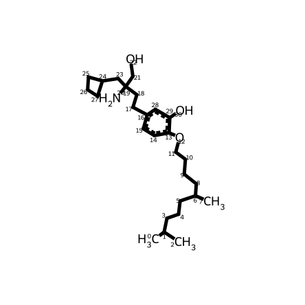 CC(C)CCCC(C)CCCCOc1ccc(CCC(N)(CO)CC2CCC2)cc1O